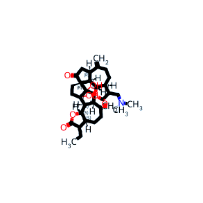 C=C1CC[C@H]2C(CC)C(=O)O[C@@H]2[C@@H]2[C@H]1C[C@@]1(O)[C@]2(O)CC[C@]12C(=O)C[C@H]1C(=C)CC[C@H]3C(CN(C)C)C(=O)O[C@@H]3[C@H]12